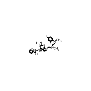 CN(CCN(C)c1ccc(F)cc1F)CCn1ccc2c(NNC(=O)c3ccco3)nc(N)nc21